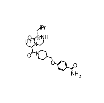 CC(C)CC(C(=O)N1CCC(COc2ccc(C(N)=O)cc2)CC1)N1CCN[C@@H](CC(C)C)C1=O